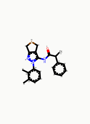 CCC(C(=O)Nc1c2c(nn1-c1cccc(C)c1C)CSC2)c1ccccc1